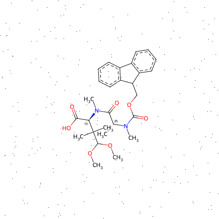 COC(OC)C(C)(C)[C@@H](C(=O)O)N(C)C(=O)[C@@H](C)N(C)C(=O)OCC1c2ccccc2-c2ccccc21